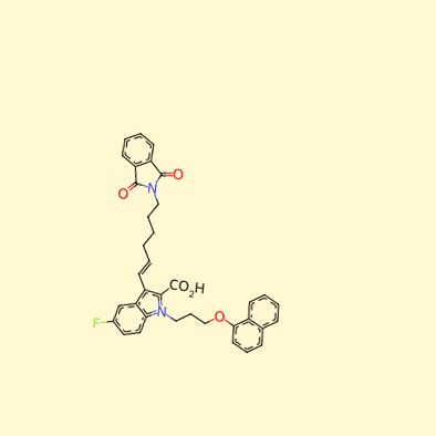 O=C(O)c1c(C=CCCCCN2C(=O)c3ccccc3C2=O)c2cc(F)ccc2n1CCCOc1cccc2ccccc12